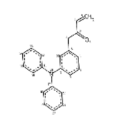 C=CC(=O)Cc1cccc(N(c2ccccc2)c2ccccc2)c1